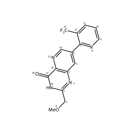 COCc1nc2cc(-c3ncccc3C(F)(F)F)cnc2c(=O)[nH]1